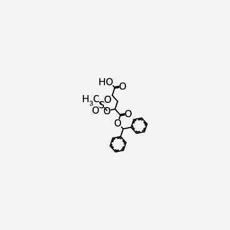 CS(=O)(=O)OC(CCC(=O)O)C(=O)OC(c1ccccc1)c1ccccc1